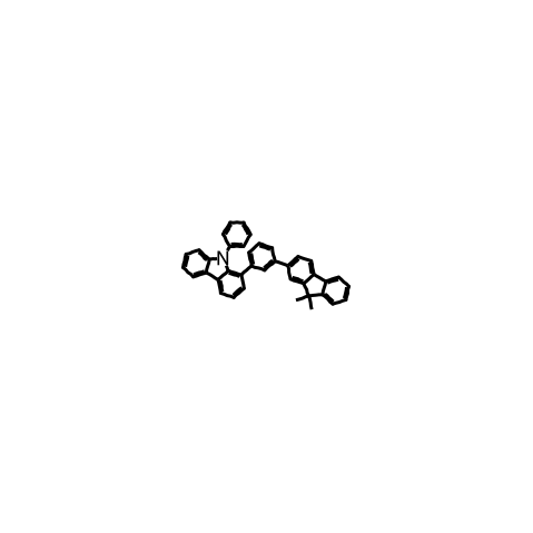 CC1(C)c2ccccc2-c2ccc(-c3cccc(-c4cccc5c6ccccc6n(-c6ccccc6)c45)c3)cc21